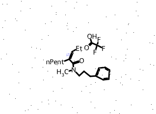 CC/C=C(/CCCCC)C(=O)N(C)CCCc1ccccc1.O=C(O)C(F)(F)F